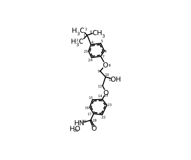 CC(C)(C)c1ccc(OCC(O)COc2ccc(C(=O)NO)cc2)cc1